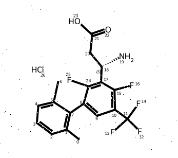 Cc1cccc(C)c1-c1cc(C(F)(F)F)c(F)c([C@@H](N)CC(=O)O)c1F.Cl